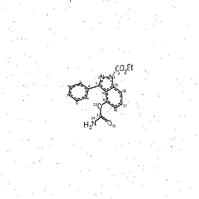 CCOC(=O)n1nc(-c2ccccc2)c2c(OC(N)=O)cccc21